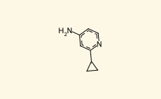 Nc1ccnc([C]2CC2)c1